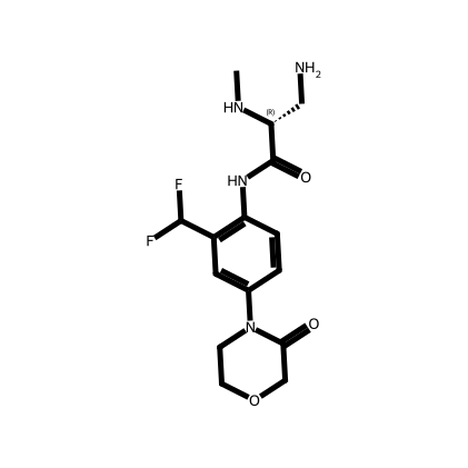 CN[C@H](CN)C(=O)Nc1ccc(N2CCOCC2=O)cc1C(F)F